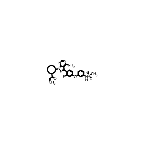 C=CC(=O)C1CCCCCC(n2nc(-c3ccc(Oc4cccc(NS(C)(=O)=O)c4)cc3F)c3c(N)ncnc32)C1